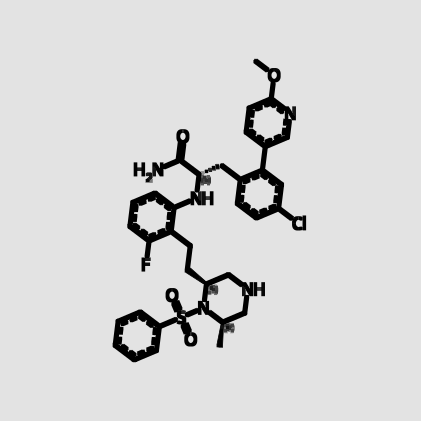 COc1ccc(-c2cc(Cl)ccc2C[C@H](Nc2cccc(F)c2CC[C@H]2CNC[C@@H](C)N2S(=O)(=O)c2ccccc2)C(N)=O)cn1